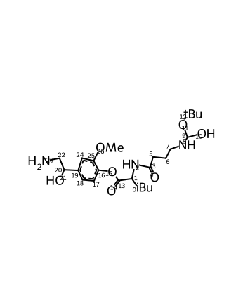 CCC(C)C(NC(=O)CCCNC(O)OC(C)(C)C)C(=O)Oc1ccc(C(O)CN)cc1OC